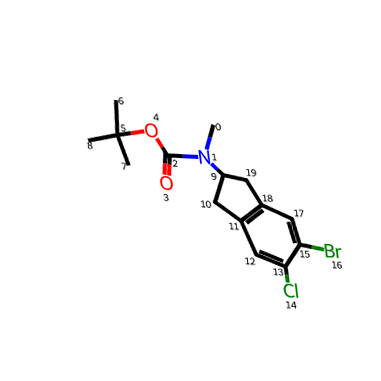 CN(C(=O)OC(C)(C)C)C1Cc2cc(Cl)c(Br)cc2C1